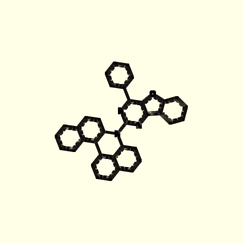 c1ccc(-c2nc(N3c4ccc5ccccc5c4-c4cccc5cccc3c45)nc3c2oc2ccccc23)cc1